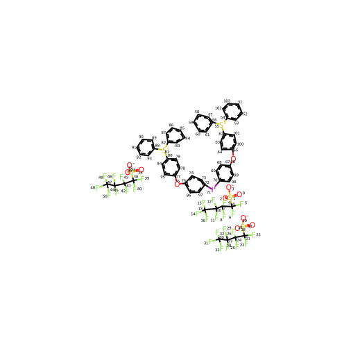 O=S(=O)([O-])C(F)(F)C(F)(F)C(F)(F)C(F)(F)F.O=S(=O)([O-])C(F)(F)C(F)(F)C(F)(F)C(F)(F)F.O=S(=O)([O-])C(F)(F)C(F)(F)C(F)(F)C(F)(F)F.c1ccc([S+](c2ccccc2)c2ccc(Oc3ccc([I+]c4ccc(Oc5ccc([S+](c6ccccc6)c6ccccc6)cc5)cc4)cc3)cc2)cc1